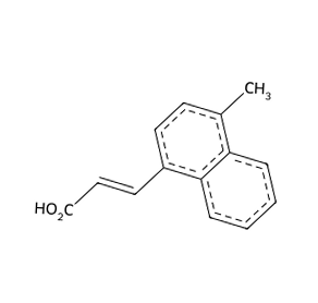 Cc1ccc(/C=C/C(=O)O)c2ccccc12